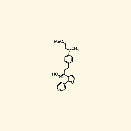 COCCN(C)c1ccc(CC/C(=N\O)c2ccoc2-c2ccncc2)cc1